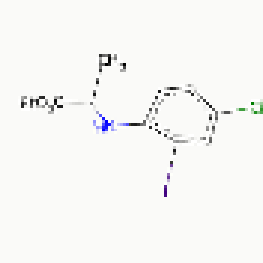 CCOC(=O)[C@H](C)Nc1ccc(Cl)cc1I